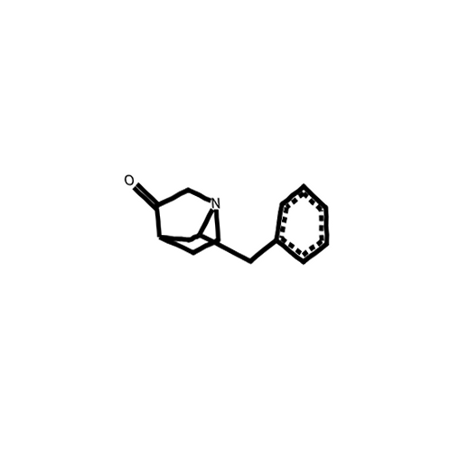 O=C1CN2CCC1CC2Cc1ccccc1